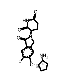 N[C@H]1CCC[C@@H]1Oc1cc2c(cc1F)C(=O)N(C1CCC(=O)NC1=O)C2